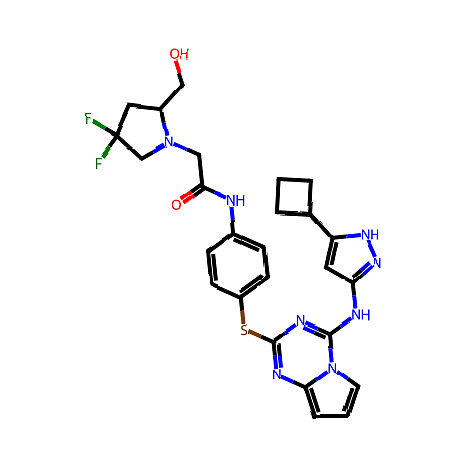 O=C(CN1CC(F)(F)CC1CO)Nc1ccc(Sc2nc(Nc3cc(C4CCC4)[nH]n3)n3cccc3n2)cc1